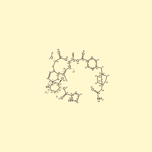 CO[C@H]1CC2C=C[C@@H]3C[C@]2(O[C@H]3[C@H](OC(=O)c2ccc[nH]2)[C@H](C)[C@H](C)O)/C(C)=C/[C@@H](C)[C@@H]([C@@H](C)OC(=O)c2ccc(C[N+]34CC[N+](CC(N)=O)(CC3)CC4)cc2)OC1=O